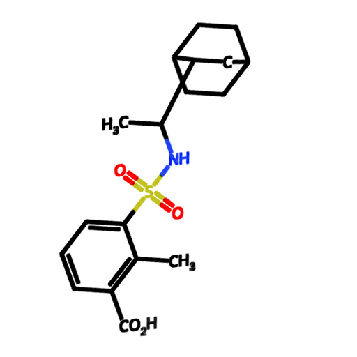 Cc1c(C(=O)O)cccc1S(=O)(=O)NC(C)C1CC2CCC1CC2